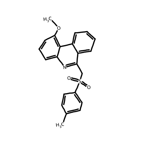 COc1cccc2nc(CS(=O)(=O)c3ccc(C)cc3)c3ccccc3c12